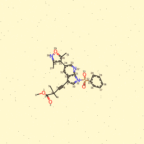 COC(=O)C(C)(C)C#Cc1cn(S(=O)(=O)c2ccccc2)c2ncc(-c3c(C)noc3C)cc12